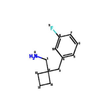 NCC1(Cc2cccc(F)c2)CCC1